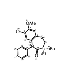 CCCC[C@@]1(CC)CSc2cc(OC)c(Cl)cc2N(c2ccccc2)C1=O